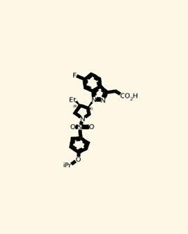 CC[C@@H]1CN(S(=O)(=O)c2ccc(OC(C)C)cc2)C[C@@H]1n1nc(CC(=O)O)c2ccc(F)cc21